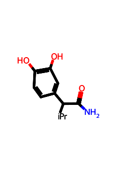 CC(C)C(C(N)=O)c1ccc(O)c(O)c1